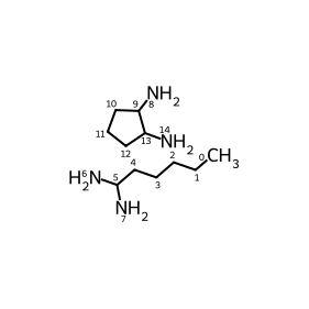 CCCCCC(N)N.NC1CCCC1N